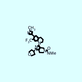 CNC(=O)N1CCc2c(c(N3CCCc4cc(-c5cnn(C)c5)c(C(F)(F)F)cc43)nn2C2CCOCC2)C1